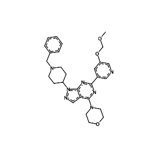 COCOc1cncc(-c2nc(N3CCOCC3)c3cnn(C4CCN(Cc5ccccc5)CC4)c3n2)c1